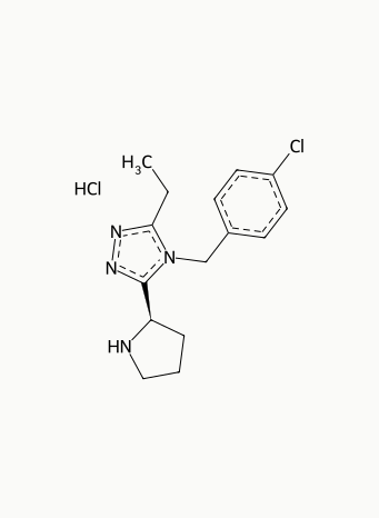 CCc1nnc([C@H]2CCCN2)n1Cc1ccc(Cl)cc1.Cl